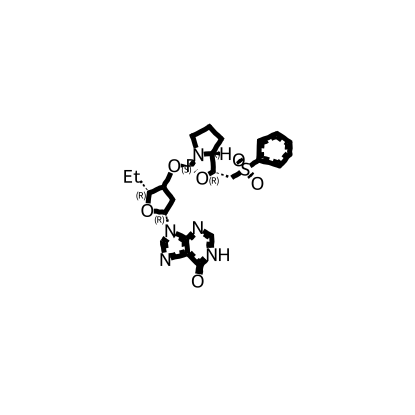 CC[C@H]1O[C@@H](n2cnc3c(=O)[nH]cnc32)CC1O[P@]1O[C@@H](CS(=O)(=O)c2ccccc2)[C@H]2CCCN21